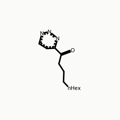 CCCCCCCCCC(=O)c1ccnnn1